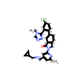 Cc1cc(CNCC2CC2)cc(N2Cc3ccc(-c4ccc(Cl)cc4-c4nncn4C)cc3C2=O)n1